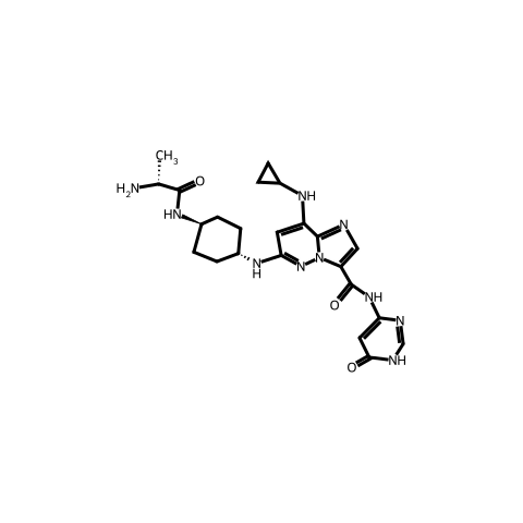 C[C@@H](N)C(=O)N[C@H]1CC[C@H](Nc2cc(NC3CC3)c3ncc(C(=O)Nc4cc(=O)[nH]cn4)n3n2)CC1